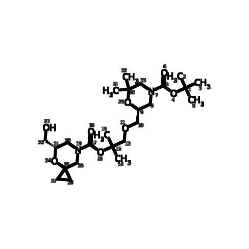 CC(C)(C)OC(=O)N1C[C@@H](COCC(C)(C)OC(=O)N2C[C@@H](CO)OC3(CC3)C2)OC(C)(C)C1